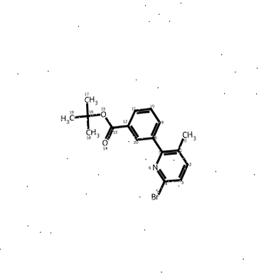 Cc1ccc(Br)nc1-c1cccc(C(=O)OC(C)(C)C)c1